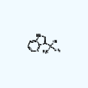 CC(C)(C#N)c1c[nH]c2cccnc12